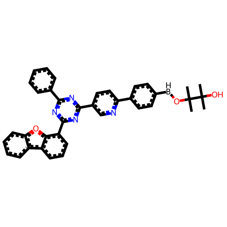 CC(C)(O)C(C)(C)OBc1ccc(-c2ccc(-c3nc(-c4ccccc4)nc(-c4cccc5c4oc4ccccc45)n3)cn2)cc1